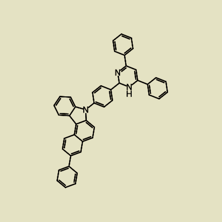 C1=C(c2ccccc2)NC(c2ccc(-n3c4ccccc4c4c5ccc(-c6ccccc6)cc5ccc43)cc2)N=C1c1ccccc1